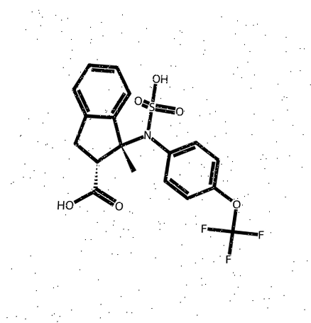 C[C@]1(N(c2ccc(OC(F)(F)F)cc2)S(=O)(=O)O)c2ccccc2C[C@H]1C(=O)O